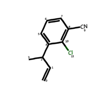 C=C[C](C)c1cccc(C#N)c1Cl